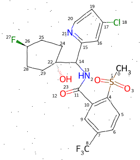 CS(=O)(=O)c1ccc(C(F)(F)F)cc1C(=O)NC(c1cc(Cl)ccn1)[C@]1(O)CC[C@H](F)CC1